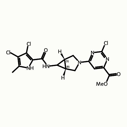 COC(=O)c1cc(N2C[C@@H]3C(NC(=O)c4[nH]c(C)c(Cl)c4Cl)[C@@H]3C2)nc(Cl)n1